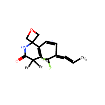 CC=C=C(/C=C\C1=C(C)C(CC)(CC)C(=O)NC12COC2)C(F)F